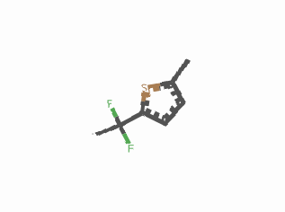 [CH2]C(F)(F)c1ccc(C)s1